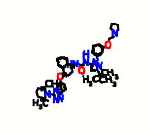 C[C@@H]1CCC[C@H](C)N1c1nnc2ccc(O[C@@H]3CC[C@H](NC(=O)Nc4cc(C(C)(C)C)nn4-c4cccc(OCCN5CCCC5)c4)c4ccccc43)cn12